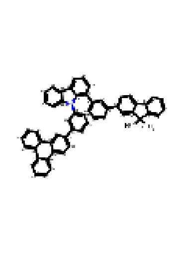 CC1(C)c2ccccc2-c2ccc(-c3cccc(-c4cccc5c6ccccc6n(-c6cccc(-c7ccc8c9ccccc9c9ccccc9c8c7)c6)c45)c3)cc21